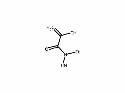 C=C(C)C(=O)N(C#N)CC